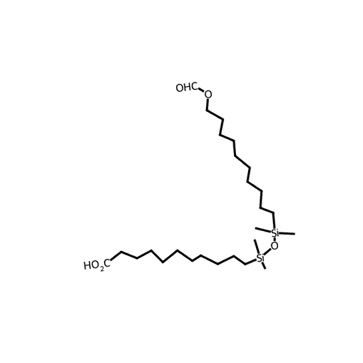 C[Si](C)(CCCCCCCCCCOC=O)O[Si](C)(C)CCCCCCCCCCC(=O)O